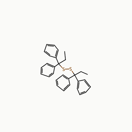 CCC(SSC(CC)(c1ccccc1)c1ccccc1)(c1ccccc1)c1ccccc1